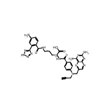 C#CCN(Cc1cnc2nc(N)nc(N)c2n1)c1ccc(C(=O)N[C@@H](CCCNC(=O)c2ccc(N)cc2-c2nn[nH]n2)C(=O)O)cc1